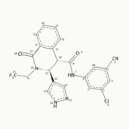 N#Cc1cc(Cl)cc(NC(=O)[C@H]2c3ccccc3C(=O)N(CC(F)(F)F)[C@@H]2c2cn[nH]c2)c1